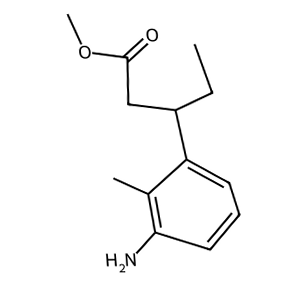 CCC(CC(=O)OC)c1cccc(N)c1C